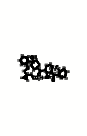 CCCC1C(C(=O)N2CCC(O)(c3ccccc3OCC3(CC(=O)O)CC3)CC2)CCCN1C(=O)c1ncccc1C(F)(F)F